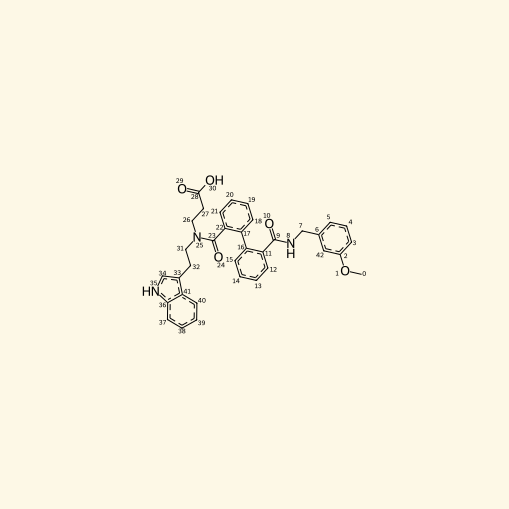 COc1cccc(CNC(=O)c2ccccc2-c2ccccc2C(=O)N(CCC(=O)O)CCc2c[nH]c3ccccc23)c1